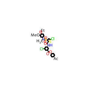 CCOc1ccc(N(C)S(=O)(=O)c2cc(Cl)sc2C(=O)Nc2cc(Cl)cc(C(=O)Oc3ccc(C(C)=O)cc3)c2)cc1OC